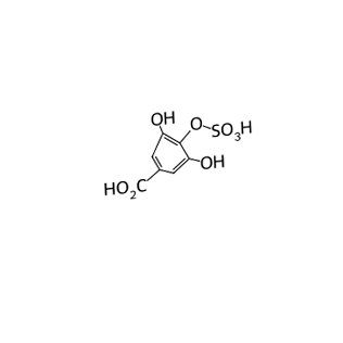 O=C(O)c1cc(O)c(OS(=O)(=O)O)c(O)c1